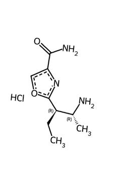 CC[C@@H](c1nc(C(N)=O)co1)[C@@H](C)N.Cl